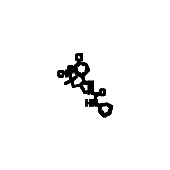 CC(C)(CC1CN(C(=O)Nc2ccccc2)N=C1c1ccc(Cl)cc1)[N+](=O)[O-]